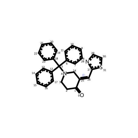 O=C1CCN(C(c2ccccc2)(c2ccccc2)c2ccccc2)C/C1=C\c1nccs1